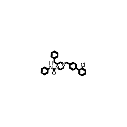 O=C(Nc1ccccc1)N1CCN(Cc2ccc(-c3ccccc3Cl)cc2)CC1Cc1ccccc1